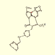 COc1ccc(C(=O)/C(Cc2ccc(OCc3ccccc3)cc2)=C(/C(=O)O)c2ccc3nonc3c2)cc1